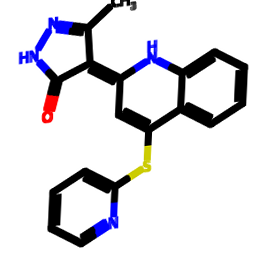 CC1=NNC(=O)C1=C1C=C(Sc2ccccn2)c2ccccc2N1